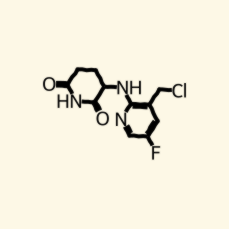 O=C1CCC(Nc2ncc(F)cc2CCl)C(=O)N1